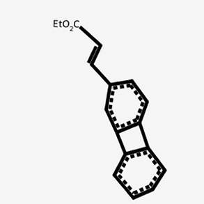 CCOC(=O)C=Cc1ccc2c(c1)-c1ccccc1-2